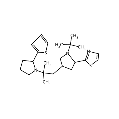 CC(C)(C)N1CC(CC(C)(C)N2CCCC2c2cccs2)CC1c1nccs1